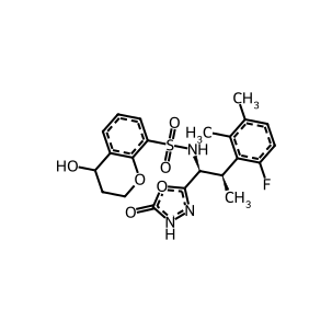 Cc1ccc(F)c([C@@H](C)[C@H](NS(=O)(=O)c2cccc3c2OCCC3O)c2n[nH]c(=O)o2)c1C